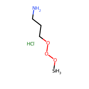 Cl.NCCCOOO[SiH3]